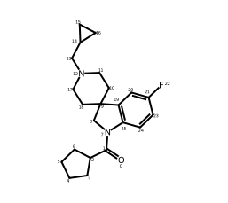 O=C(C1CCCC1)N1CC2(CCN(CC3CC3)CC2)c2cc(F)ccc21